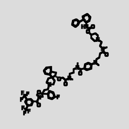 CN(CCN1CCC(OC(=O)Nc2ccccc2-c2ccccc2)CC1)C(=O)CCCN(C)c1ccc(C(=O)N(C)CCCN(C)C(=O)CO[C@H]2Cc3ccccc3C23CCN(CC[C@@]2(c4ccc(F)cc4)CN(C(=O)c4cc(C(F)(F)F)cc(C(F)(F)F)c4)CO2)CC3)cc1